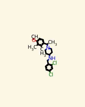 COc1ccc(C(C)N2CCC(NCc3ccc(Cl)cc3Cl)CC2)c(C)c1C